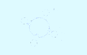 CC(C)(C)c1c(C(C)(C)C)c(C(C)(C)C)c2c3nc4nc(nc5[nH]c(nc6nc(nc([nH]3)c2c1C(C)(C)C)-c1ccccc1-6)c1ccccc51)-c1ccccc1-4.[SiH4]